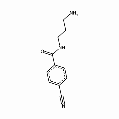 N#Cc1ccc(C(=O)NCCCN)cc1